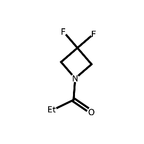 [CH2]CC(=O)N1CC(F)(F)C1